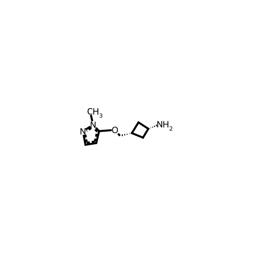 Cn1nccc1OC[C@H]1C[C@@H](N)C1